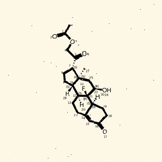 CC(=O)OCC(=O)[C@H]1CC[C@H]2[C@@H]3CCC4=CC(=O)CC[C@@H]4[C@@]3(F)[C@H](O)C[C@]12C